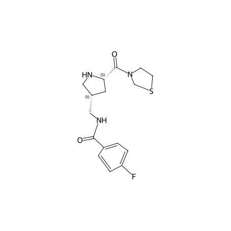 O=C(NC[C@@H]1CN[C@H](C(=O)N2CCSC2)C1)c1ccc(F)cc1